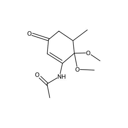 COC1(OC)C(NC(C)=O)=CC(=O)CC1C